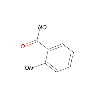 O=NC(=O)c1ccccc1N=O